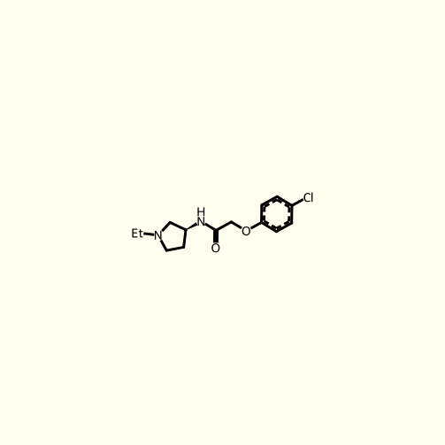 CCN1CC[C@H](NC(=O)COc2ccc(Cl)cc2)C1